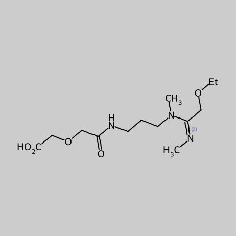 CCOC/C(=N/C)N(C)CCCNC(=O)COCC(=O)O